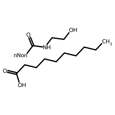 CCCCCCCCCC(=O)NCCO.CCCCCCCCCC(=O)O